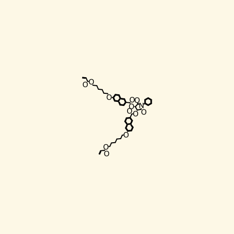 C=CC(=O)OCCCCCCOc1ccc2cc(C(=O)O[C@H]3C(=O)N(c4ccccc4)C(=O)[C@@H]3OC(=O)c3ccc4cc(OCCCCCCOC(=O)C=C)ccc4c3)ccc2c1